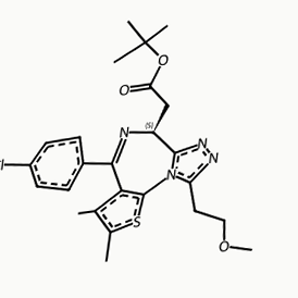 COCCc1nnc2n1-c1sc(C)c(C)c1C(c1ccc(Cl)cc1)=N[C@H]2CC(=O)OC(C)(C)C